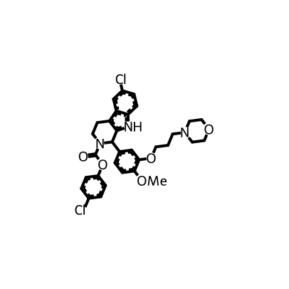 COc1ccc(C2c3[nH]c4ccc(Cl)cc4c3CCN2C(=O)Oc2ccc(Cl)cc2)cc1OCCCN1CCOCC1